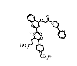 CCOC(=O)N1CCN(C(=O)C(CCC(=O)O)NC(=O)c2cc(OCC(=O)N3CCC(c4ccccn4)C3)c3ccccc3n2)CC1